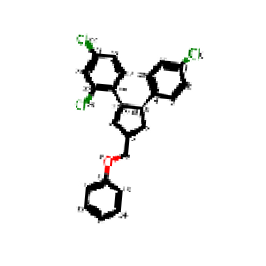 Clc1ccc([C@H]2CC(COc3ccccc3)C[C@H]2c2ccc(Cl)cc2Cl)cc1